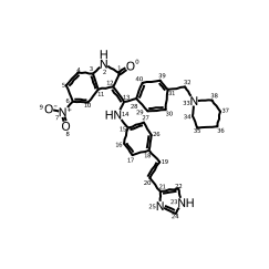 O=C1Nc2ccc([N+](=O)[O-])cc2C1=C(Nc1ccc(C=Cc2c[nH]cn2)cc1)c1ccc(CN2CCCCC2)cc1